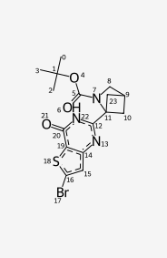 CC(C)(C)OC(=O)N1CC2CC1(c1nc3cc(Br)sc3c(=O)[nH]1)C2